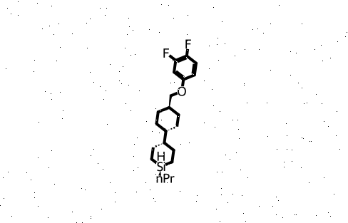 CCC[Si@H]1CC[C@H]([C@H]2CC[C@H](COc3ccc(F)c(F)c3)CC2)CC1